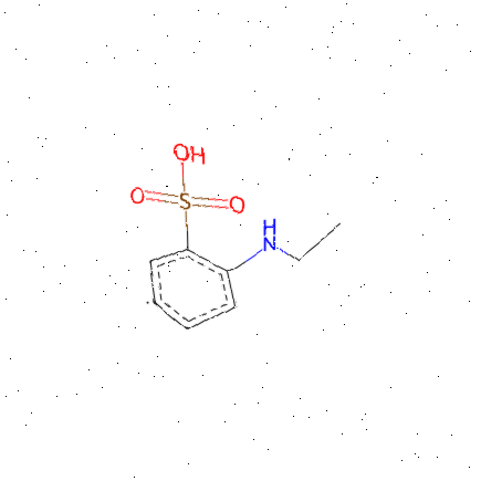 CCNc1cc[c]cc1S(=O)(=O)O